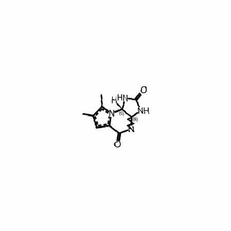 Cc1cc2n(c1C)[C@@H]1NC(=O)N[C@@]13CCCN3C2=O